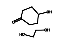 O=C1CCC(O)CC1.OCCO